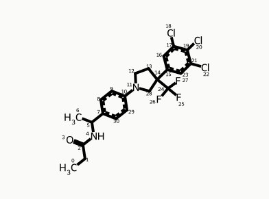 CCC(=O)NC(C)c1ccc(N2CCC(c3cc(Cl)c(Cl)c(Cl)c3)(C(F)(F)F)C2)cc1